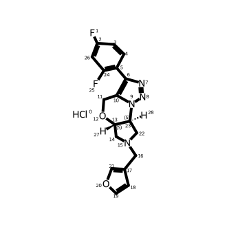 Cl.Fc1ccc(-c2nnn3c2CO[C@H]2CN(Cc4ccoc4)C[C@@H]23)c(F)c1